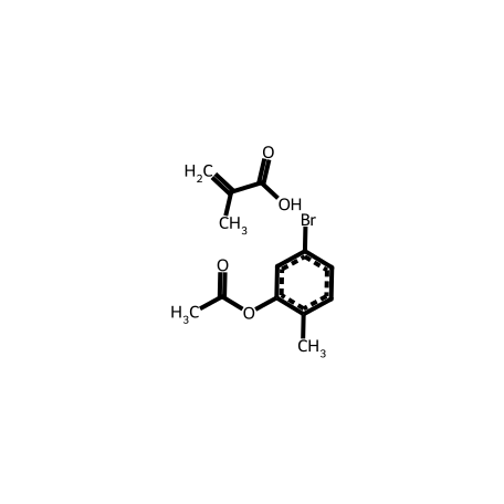 C=C(C)C(=O)O.CC(=O)Oc1cc(Br)ccc1C